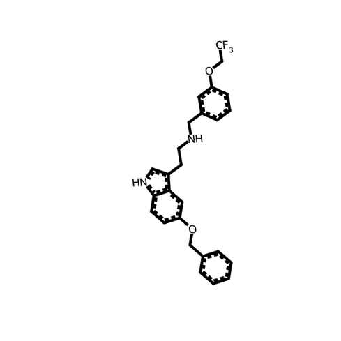 FC(F)(F)COc1cccc(CNCCc2c[nH]c3ccc(OCc4ccccc4)cc23)c1